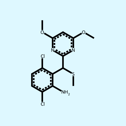 COc1cc(OC)nc(C(SC)c2c(Cl)ccc(Cl)c2N)n1